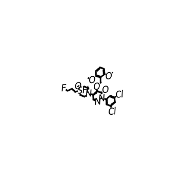 COc1cccc(OC)c1COc1c(N2CC[SH](=O)(CCCF)CC2)cnn(-c2cc(Cl)cc(Cl)c2)c1=O